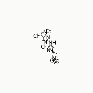 CCn1cc(Cl)c2cnc(Nc3cn([C@H]4CCN(S(C)(=O)=O)C4)nc3Cl)nc21